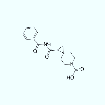 O=C(NC(=O)[C@H]1CC12CCN(C(=O)O)CC2)c1ccccc1